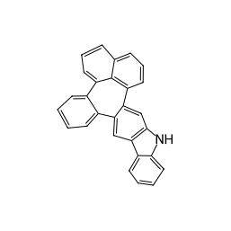 c1ccc2c(c1)-c1cc3c(cc1-c1cccc4cccc-2c14)[nH]c1ccccc13